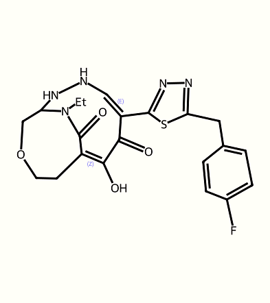 CCN1C(=O)/C2=C(\O)C(=O)/C(c3nnc(Cc4ccc(F)cc4)s3)=C\NNC1COCC2